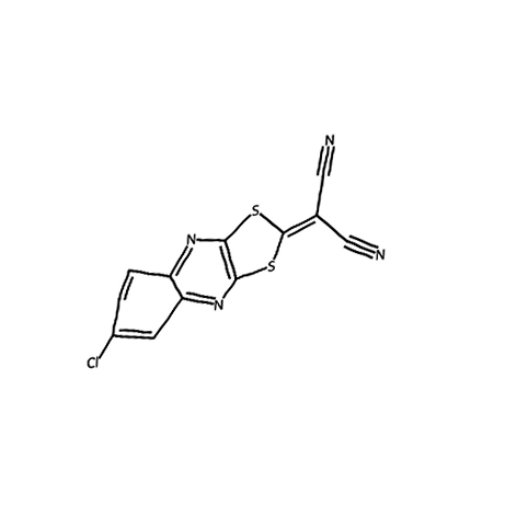 N#CC(C#N)=C1Sc2nc3ccc(Cl)cc3nc2S1